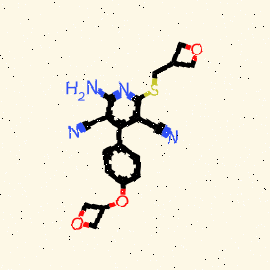 N#Cc1c(N)nc(SCC2COC2)c(C#N)c1-c1ccc(OC2COC2)cc1